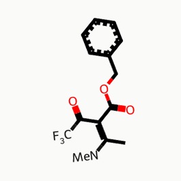 CNC(C)=C(C(=O)OCc1ccccc1)C(=O)C(F)(F)F